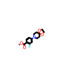 COC(=O)c1ccc(N2CCC3(CC2)OCCO3)cc1F